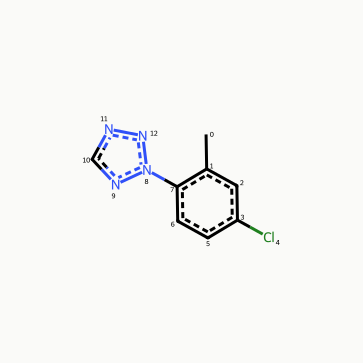 Cc1cc(Cl)ccc1-n1ncnn1